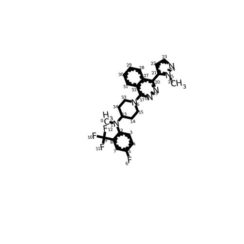 CN(c1ccc(F)cc1C(F)(F)F)C1CCN(c2nnc(-c3ccnn3C)c3ccccc23)CC1